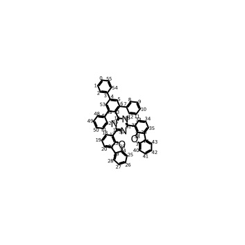 c1ccc(-c2cc(-c3ccccc3)c(-c3nc(-c4cccc5c4oc4ccccc45)nc(-c4cccc5c4oc4ccccc45)n3)c(-c3ccccc3)c2)cc1